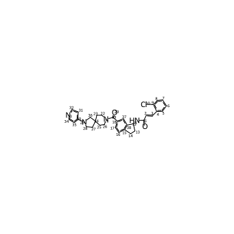 O=C(C=Cc1ccccc1Cl)NC1CCc2ccc(C(=O)N3CCC4(CC3)CCN(c3ccncc3)C4)cc21